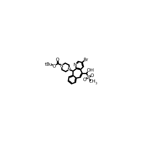 CC(C)(C)OC(=O)N1CCN(C2c3ccccc3C=C(C(O)S(C)(=O)=O)c3cc(Br)cnc32)CC1